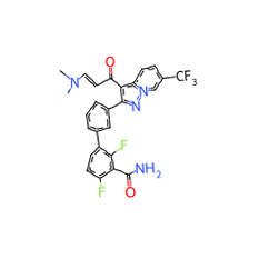 CN(C)C=CC(=O)c1c(-c2cccc(-c3ccc(F)c(C(N)=O)c3F)c2)nn2cc(C(F)(F)F)ccc12